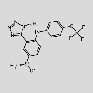 Cn1nnnc1-c1cc([S@+](C)[O-])ccc1Nc1ccc(OC(F)(F)F)cc1